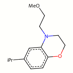 COCCN1CCOc2ccc(C(C)C)cc21